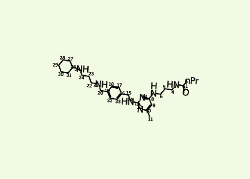 CCCC(=O)NCCCNc1cc(C)nc(NCc2ccc(CNCCCNC3CCCCC3)cc2)n1